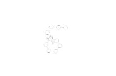 c1ccc(-c2ccc(-c3cccc(-c4cccc(-c5nc(-c6cccc(-c7cccc(-c8cccc(-c9ccccc9)c8)c7)c6)c6sc7ccccc7c6n5)c4)c3)cc2)cc1